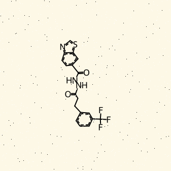 O=C(CCc1cccc(C(F)(F)F)c1)NNC(=O)c1ccc2ncsc2c1